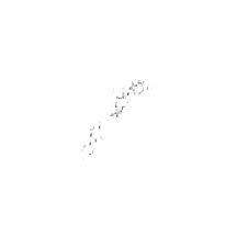 Cc1ccc(N2CCC(CCCC(=O)N3CCC(Nc4ccc(C(F)(F)F)cn4)CC3)CC2)cc1